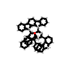 c1ccc(-c2nc(-c3cccc4sc5ccccc5c34)nc(-n3c4ccccc4c4ccc5c6ccccc6n(-c6ccc(-c7ccccc7)c7c6oc6ccccc67)c5c43)n2)cc1